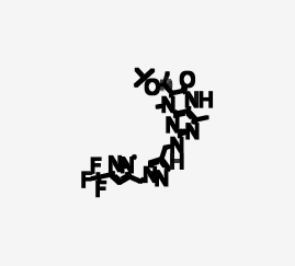 Cc1nc(NCc2cnn(Cc3cc(C(F)(F)F)nn3C)c2)nc2c1NC(=O)C([C@H](C)OC(C)(C)C)N2C